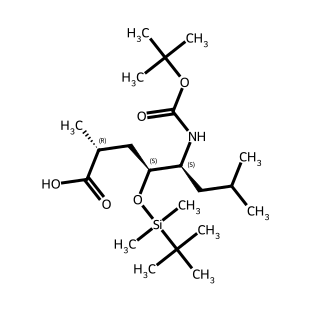 CC(C)C[C@H](NC(=O)OC(C)(C)C)[C@H](C[C@@H](C)C(=O)O)O[Si](C)(C)C(C)(C)C